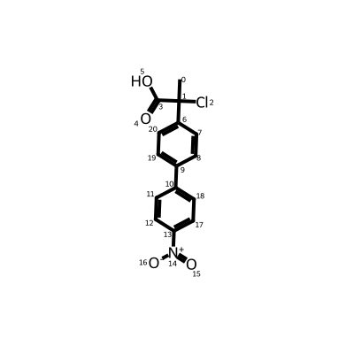 CC(Cl)(C(=O)O)c1ccc(-c2ccc([N+](=O)[O-])cc2)cc1